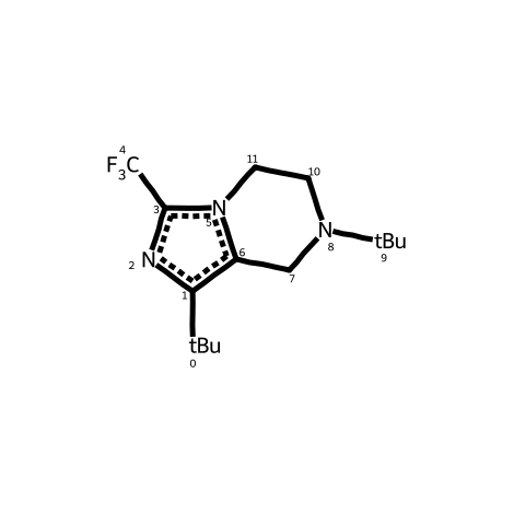 CC(C)(C)c1nc(C(F)(F)F)n2c1CN(C(C)(C)C)CC2